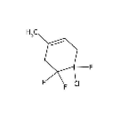 CC1=CCC(F)(Cl)C(F)(F)C1